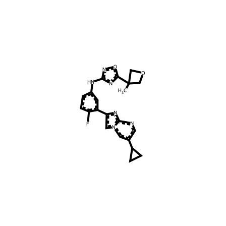 CC1(c2nc(Nc3ccc(F)c(-c4cn5cc(C6CC6)cnc5n4)c3)no2)COC1